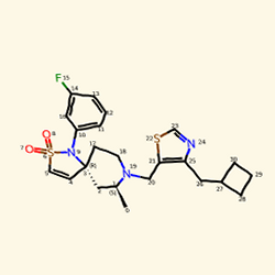 C[C@H]1C[C@@]2(C=CS(=O)(=O)N2c2cccc(F)c2)CCN1Cc1scnc1CC1CCC1